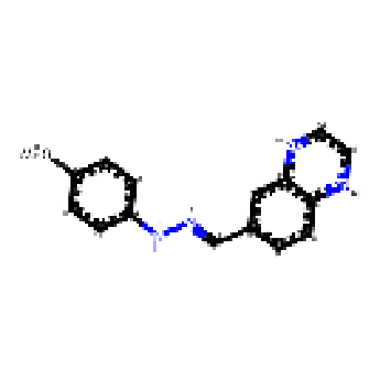 COc1ccc(NN=Cc2ccc3nccnc3c2)cc1